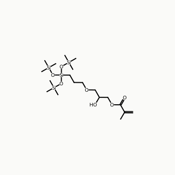 C=C(C)C(=O)OCC(O)COCCC[Si](O[Si](C)(C)C)(O[Si](C)(C)C)O[Si](C)(C)C